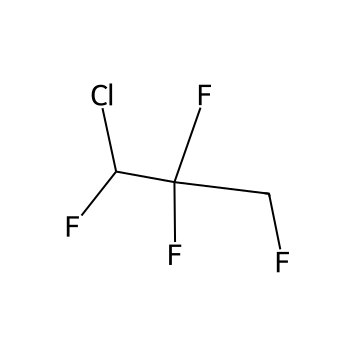 FCC(F)(F)C(F)Cl